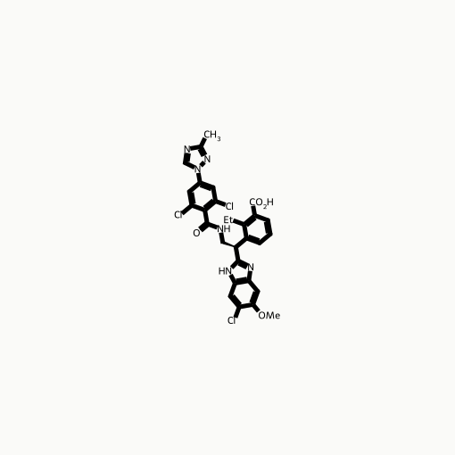 CCc1c(C(=O)O)cccc1[C@H](CNC(=O)c1c(Cl)cc(-n2cnc(C)n2)cc1Cl)c1nc2cc(OC)c(Cl)cc2[nH]1